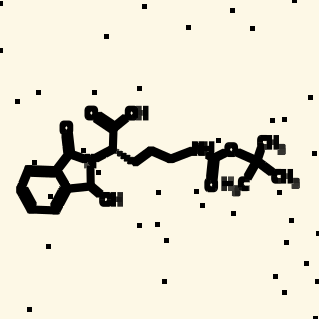 CC(C)(C)OC(=O)NCCC[C@@H](C(=O)O)N1C(=O)c2ccccc2C1O